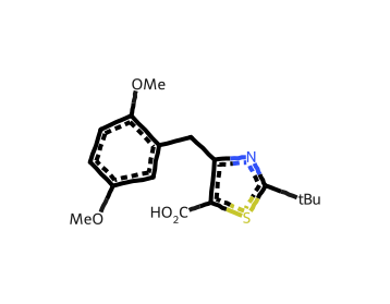 COc1ccc(OC)c(Cc2nc(C(C)(C)C)sc2C(=O)O)c1